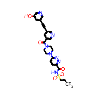 O=C(NS(=O)(=O)CCC(F)(F)F)c1ccc(N2CCN(C(=O)c3cncc(C#Cc4cncc(O)c4)c3)CC2)nn1